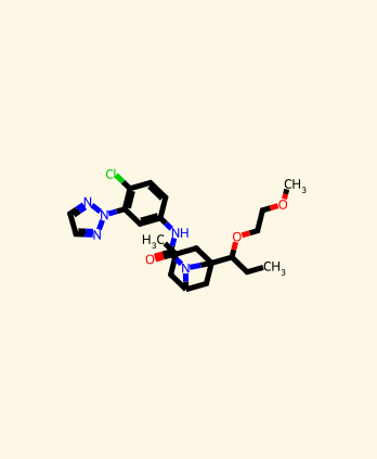 CCC(OCCOC)C12CC(C)CC(C1)N2C(=O)Nc1ccc(Cl)c(-n2nccn2)c1